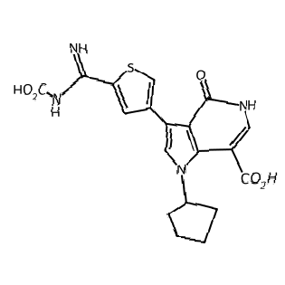 N=C(NC(=O)O)c1cc(-c2cn(C3CCCC3)c3c(C(=O)O)c[nH]c(=O)c23)cs1